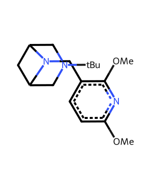 COc1ccc(CN2C3CC2CN(C(C)(C)C)C3)c(OC)n1